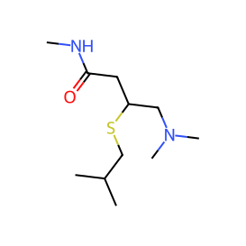 CNC(=O)CC(CN(C)C)SCC(C)C